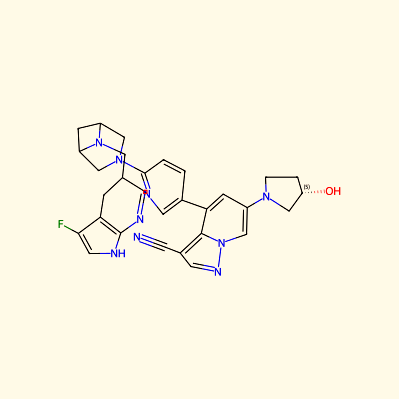 N#Cc1cnn2cc(N3CC[C@H](O)C3)cc(-c3ccc(N4CC5CC(C4)N5CC4C=Nc5[nH]cc(F)c5C4)nc3)c12